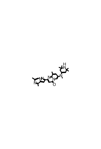 Cc1cn2nc(-c3cc(=O)n4cc(N(C)C5=CC(C)(C)NC(C)(C)C5)cc(C)c4n3)cc2c(C)n1